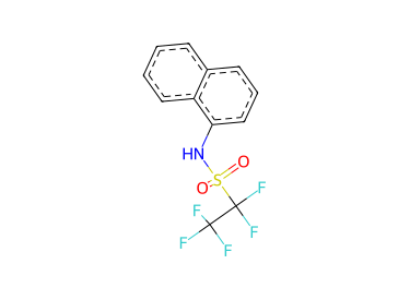 O=S(=O)(Nc1cccc2ccccc12)C(F)(F)C(F)(F)F